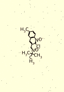 Cc1ccc2c(c1)cc(/C=[N+](\[O-])C(C)(C)C)c(Cl)[n+]2[O-]